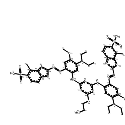 CCN(CC)c1cc(Nc2nc(Nc3cc(N(CC)CC)c(OC)cc3/N=N/c3nc4ccc(S(=O)(=O)O)c(C)c4s3)nc(SCCO)n2)c(/N=N/c2nc3ccc(S(=O)(=O)O)c(C)c3s2)cc1OC